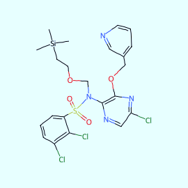 C[Si](C)(C)CCOCN(c1ncc(Cl)nc1OCc1cccnc1)S(=O)(=O)c1cccc(Cl)c1Cl